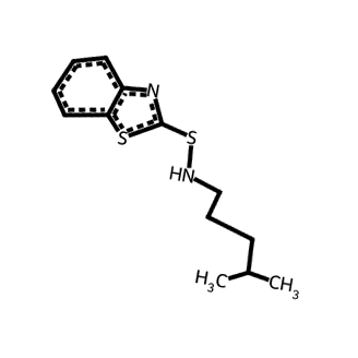 CC(C)CCCNSc1nc2ccccc2s1